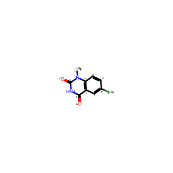 CC(C)n1c(=O)[nH]c(=O)c2cc(F)ccc21